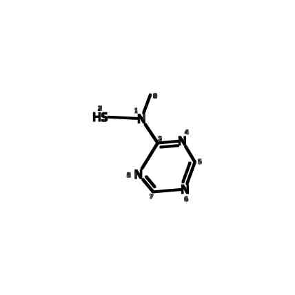 CN(S)c1ncncn1